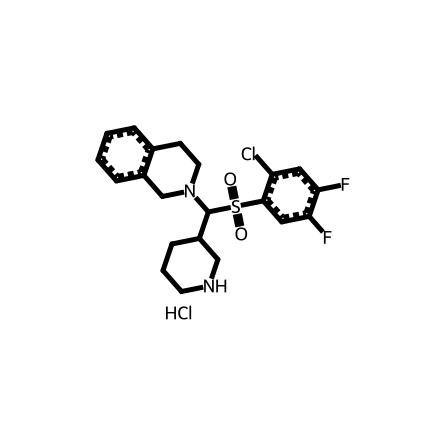 Cl.O=S(=O)(c1cc(F)c(F)cc1Cl)C(C1CCCNC1)N1CCc2ccccc2C1